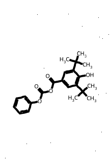 CC(C)(C)c1cc(C(=O)OC(=O)Oc2ccccc2)cc(C(C)(C)C)c1O